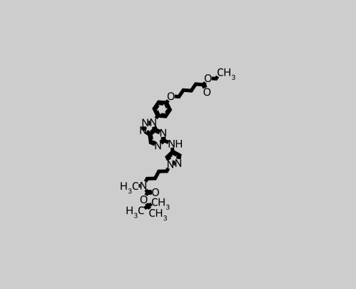 CCOC(=O)CCCCOc1ccc(-n2nnc3cnc(Nc4cnn(CCCCN(C)C(=O)OC(C)(C)C)c4)nc32)cc1